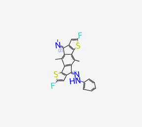 C/N=c1\c2cc(F)sc2c2c(C)c3/c(=N/Nc4ccccc4)c4cc(F)sc4c3c(C)c12